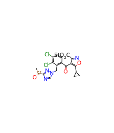 CCOC(=O)c1noc(C2CC2)c1C(=O)c1ccc(Cl)c(Cl)c1Cn1cnc([S+](C)[O-])n1